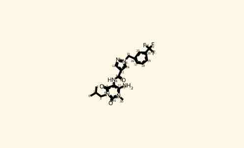 CC(C)Cn1c(=O)c(NC(=O)c2cnn(Cc3cccc(C(F)(F)F)c3)c2)c(N)n(C)c1=O